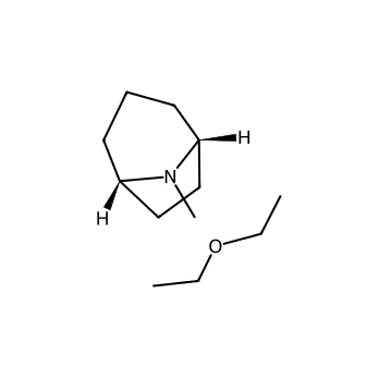 CCOCC.CN1[C@@H]2CCC[C@H]1CC2